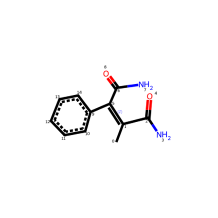 C/C(C(N)=O)=C(/C(N)=O)c1ccccc1